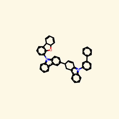 C1=CC2Oc3c(cccc3-n3c4ccccc4c4cc(C5C=Cc6c(c7ccccc7n6-c6cccc(-c7ccccc7)c6)C5)ccc43)C2C=C1